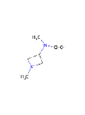 CN1CC(N(C)[C]=O)C1